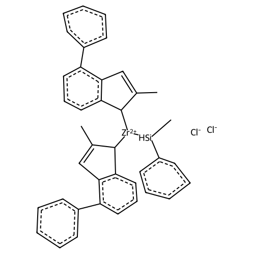 CC1=Cc2c(-c3ccccc3)cccc2[CH]1[Zr+2]([CH]1C(C)=Cc2c(-c3ccccc3)cccc21)[SiH](C)c1ccccc1.[Cl-].[Cl-]